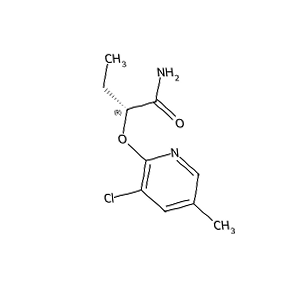 CC[C@@H](Oc1ncc(C)cc1Cl)C(N)=O